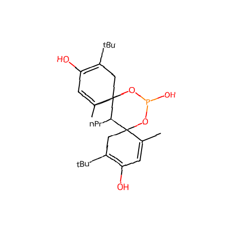 CCCC1C2(CC(C(C)(C)C)=C(O)C=C2C)OP(O)OC12CC(C(C)(C)C)=C(O)C=C2C